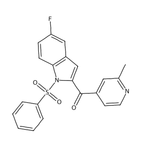 Cc1cc(C(=O)c2cc3cc(F)ccc3n2S(=O)(=O)c2ccccc2)ccn1